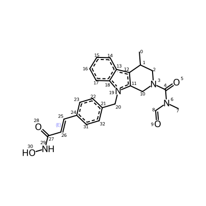 CC1CN(C(=O)N(C)C=O)Cc2c1c1ccccc1n2Cc1ccc(/C=C/C(=O)NO)cc1